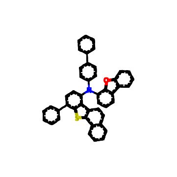 c1ccc(-c2ccc(N(c3cccc4c3oc3ccccc34)c3ccc(-c4ccccc4)c4sc5c6ccccc6ccc5c34)cc2)cc1